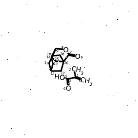 C=C(C)C(=O)O.O=C1OC2C3CC4CC2CC1(C4)C3